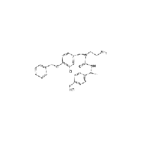 CC(NC(=O)N(CCN)Cc1ccc(OCc2ccccc2)c(Cl)c1)c1ccc(F)cc1.Cl